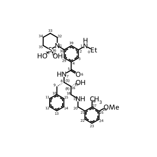 CCNc1cc(C(=O)N[C@@H](Cc2ccccc2)[C@H](O)CNCc2cccc(OC)c2C)cc(N2CCCCS2(O)O)c1